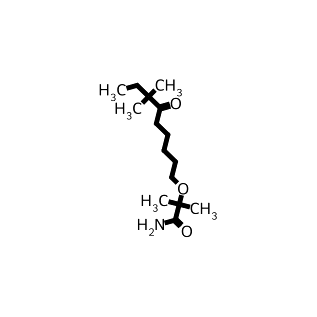 CCC(C)(C)C(=O)CCCCCOC(C)(C)C(N)=O